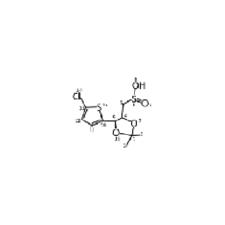 CC1(C)OC(CS(=O)O)C(c2ccc(Cl)s2)O1